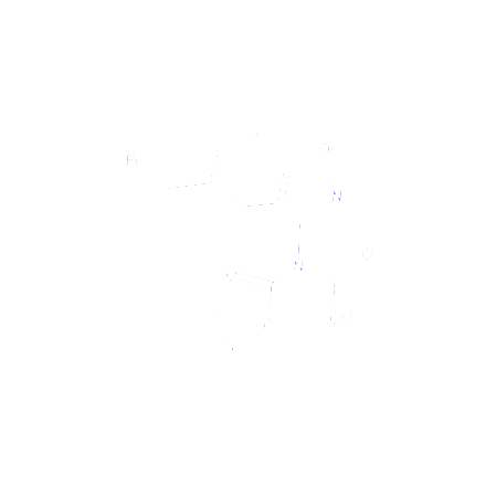 CC(C)(C)OC(=O)N(C(=O)O)c1noc2ccc(CBr)cc12